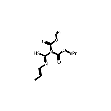 CC=CN=C(S)N(C(=O)OCCC)C(=O)OCCC